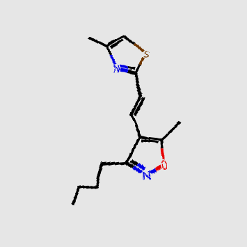 CCCCc1noc(C)c1C=Cc1nc(C)cs1